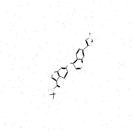 BC(O)(O)NC(=O)c1coc2cc(Oc3ccnc4cc(-c5cn(C)cn5)ccc34)ccc12